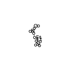 CCC1(CC)c2cc(-c3ccc4c(c3)c3ccccc3n4-c3ccc(Oc4ccccc4)cc3)ccc2-c2ccc([Si](c3ccccc3)(c3ccccc3)c3ccccc3)cc21